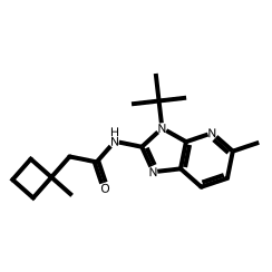 Cc1ccc2nc(NC(=O)CC3(C)CCC3)n(C(C)(C)C)c2n1